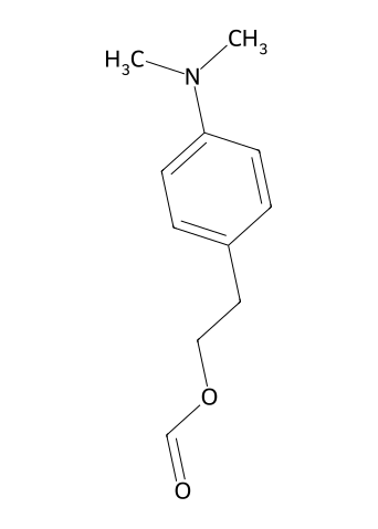 CN(C)c1ccc(CCOC=O)cc1